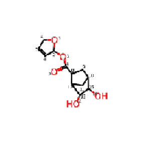 O=C(OC1C=CCO1)C1CC2CC1C(O)C2O